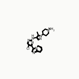 Cc1c(Nc2ncc(Cl)c(-c3cnc4ccccn34)n2)cnn1C1CCN(N)CC1